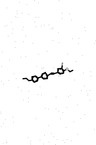 CCCc1ccc(-c2ccc(C#Cc3ccc(OCC)c(F)c3)cc2)cc1